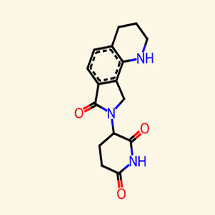 O=C1CCC(N2Cc3c(ccc4c3NCCC4)C2=O)C(=O)N1